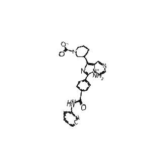 N[N+]12C=CN=CC1=C(C1CCCN(C(=O)[O-])C1)N=C2c1ccc(C(=O)Nc2ccccn2)cc1